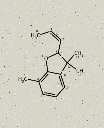 C/C=C\C1Oc2c(C)cccc2C1(C)C